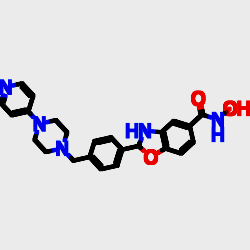 O=C(NO)c1ccc2c(c1)NC(c1ccc(CN3CCN(c4ccncc4)CC3)cc1)O2